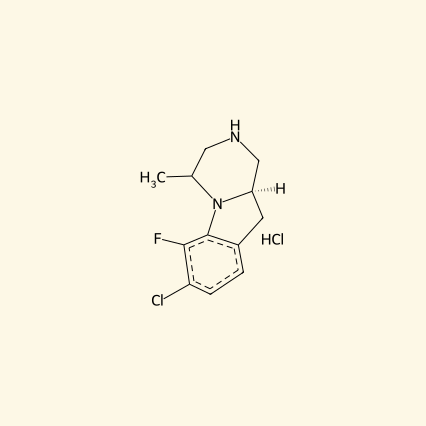 CC1CNC[C@H]2Cc3ccc(Cl)c(F)c3N12.Cl